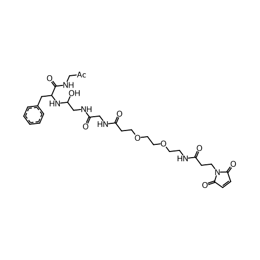 CC(=O)CNC(=O)C(Cc1ccccc1)NC(O)CNC(=O)CNC(=O)CCOCCOCCNC(=O)CCN1C(=O)C=CC1=O